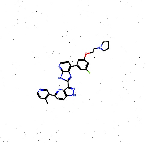 Cc1ccncc1-c1ccc2[nH]nc(-c3nc4c(-c5cc(F)cc(OCCN6CCCC6)c5)ccnc4[nH]3)c2n1